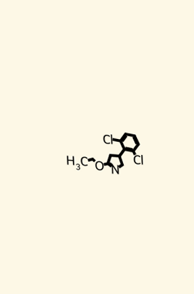 CCOC1=NCC(c2c(Cl)cccc2Cl)C1